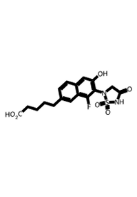 O=C(O)CCCCc1ccc2cc(O)c(N3CC(=O)NS3(=O)=O)c(F)c2c1